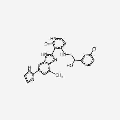 Cc1cc(-c2ncc[nH]2)cc2[nH]c(-c3c(NCC(O)c4cccc(Cl)c4)cc[nH]c3=O)nc12